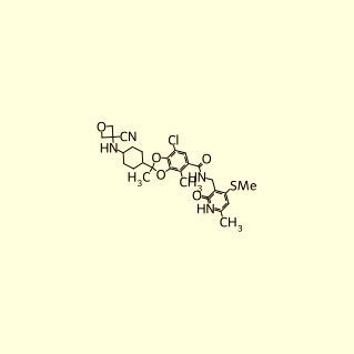 CSc1cc(C)[nH]c(=O)c1CNC(=O)c1cc(Cl)c2c(c1C)OC(C)(C1CCC(NC3(C#N)COC3)CC1)O2